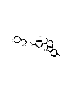 CCOC(=O)N1CCc2c([nH]c3ccc(Cl)cc23)C1c1ccc(OCC(O)CN2CCOCC2)cc1